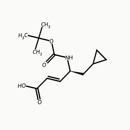 CC(C)(C)OC(=O)N[C@H](C=CC(=O)O)CC1CC1